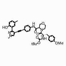 COc1ccc(C[C@H](NC(=O)OC(C)(C)C)C(=O)N2CCOCC2C(=O)Nc2ccc(C#Cc3cn(C)nc3-c3cc(C)ccc3O)cc2)cc1